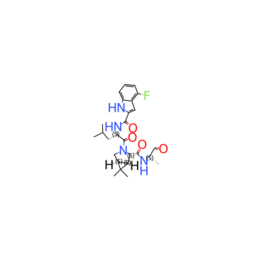 CC(C)C[C@H](NC(=O)c1cc2c(F)cccc2[nH]1)C(=O)N1C[C@H]2[C@@H]([C@H]1C(=O)N[C@@H](C)C=O)C2(C)C